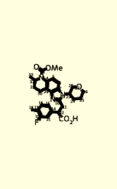 COC(=O)N1c2ccc3c(nc(CC(C(=O)O)c4ccc(C)c(F)c4)n3C3CCCOC3)c2CCC1C